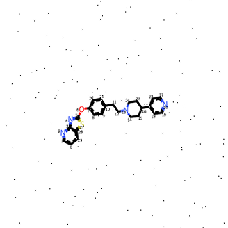 c1cnc2nc(Oc3ccc(CCN4CCC(c5ccncc5)CC4)cc3)sc2c1